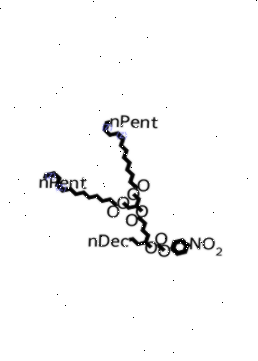 CCCCC/C=C\C/C=C\CCCCCCCC(=O)OCC(COC(=O)CCCCCCC/C=C\C/C=C\CCCCC)OC(=O)CCCC(CCCCCCCCCCCC)OC(=O)Oc1ccc([N+](=O)[O-])cc1